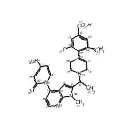 CNc1ccn(-c2ccnc3c2cc(C(C)N2CC=C(c4c(C)cc(C(=O)O)cc4F)CC2)n3C)c(=O)c1